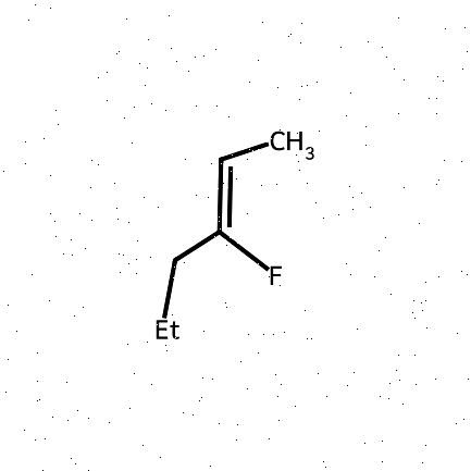 CC=C(F)CCC